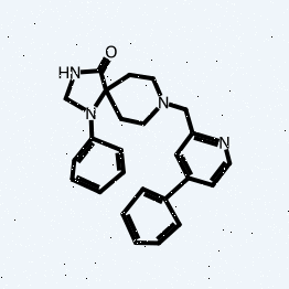 O=C1NCN(c2ccccc2)C12CCN(Cc1cc(-c3ccccc3)ccn1)CC2